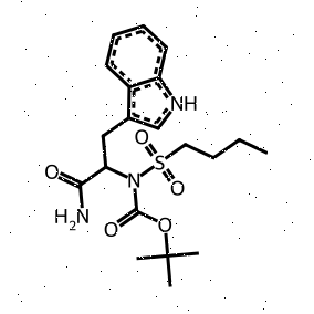 CCCCS(=O)(=O)N(C(=O)OC(C)(C)C)C(Cc1c[nH]c2ccccc12)C(N)=O